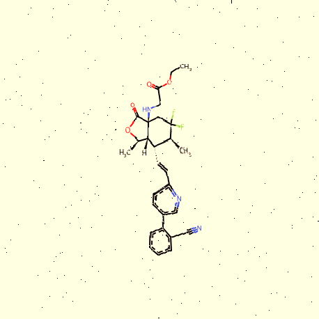 CCOC(=O)CN[C@@]12CC(F)(F)[C@@H](C)[C@H](C=Cc3ccc(-c4ccccc4C#N)cn3)[C@@H]1[C@@H](C)OC2=O